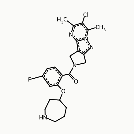 Cc1nc2c3c(nn2c(C)c1Cl)CN(C(=O)c1ccc(F)cc1OC1CCCNCC1)C3